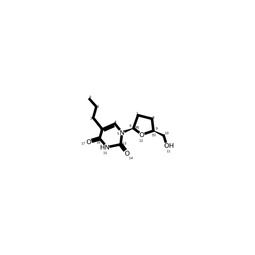 CCCc1cn([C@H]2CC[C@@H](CO)O2)c(=O)[nH]c1=O